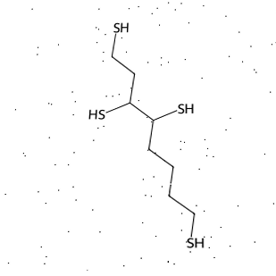 SCCCCC(S)C(S)CCS